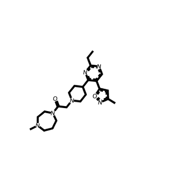 CCc1ncc(-c2cc(C)no2)c(C2CCN(CC(=O)N3CCCN(C)CC3)CC2)n1